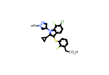 CCCn1cc(-n2c(C3CC3)c(Sc3cccc(CC(=O)O)c3F)c3ccc(Cl)c(F)c32)cn1